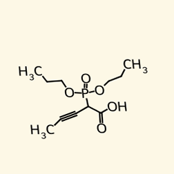 CC#CC(C(=O)O)P(=O)(OCCC)OCCC